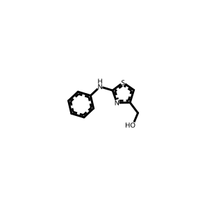 OCc1csc(Nc2ccccc2)n1